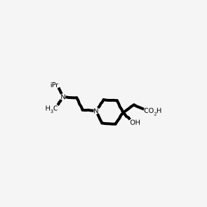 CC(C)N(C)CCN1CCC(O)(CC(=O)O)CC1